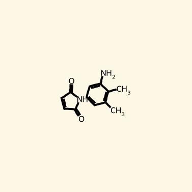 Cc1cccc(N)c1C.O=C1C=CC(=O)N1